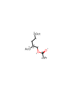 CCCCCCCCCC[C@@H](COC(=O)CCC)OC(C)=O